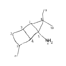 CC1CC2C1C1(N)C2C1(C)C